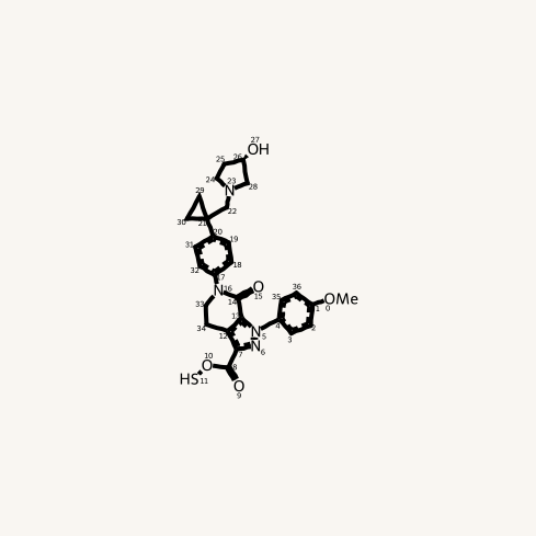 COc1ccc(-n2nc(C(=O)OS)c3c2C(=O)N(c2ccc(C4(CN5CC[C@@H](O)C5)CC4)cc2)CC3)cc1